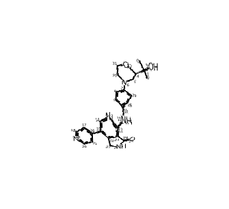 CC(C)(O)[C@H]1CN(c2ccc(Nc3ncc(-c4ccncc4)c4c3C(=O)NC4)cc2)CCO1